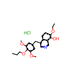 CCCOc1c(OC)cc(Cc2cncc3c(O)c(OCC)ccc23)cc1OC.Cl